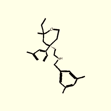 C=C/C(=C\C(=C)C)[C@]1(CCNCc2cc(C)cc(C)c2)CCOC(C)(CC)C1